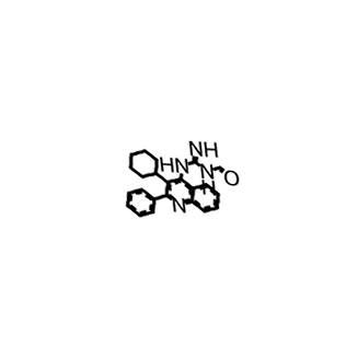 N=C(NC=O)Nc1c(C2CCCCC2)c(-c2ccccc2)nc2ccccc12